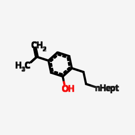 C=C(C)c1ccc(CCCCCCCCC)c(O)c1